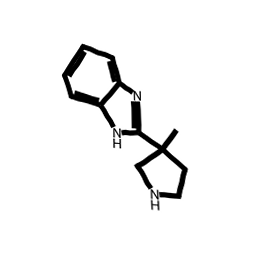 CC1(c2nc3ccccc3[nH]2)CCNC1